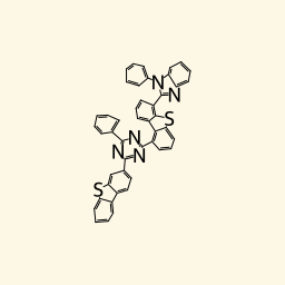 c1ccc(-c2nc(-c3ccc4c(c3)sc3ccccc34)nc(-c3cccc4sc5c(-c6nc7ccccc7n6-c6ccccc6)cccc5c34)n2)cc1